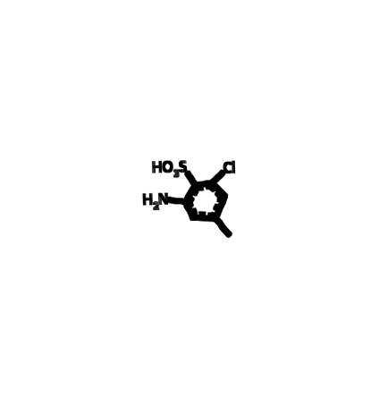 Cc1cc(N)c(S(=O)(=O)O)c(Cl)c1